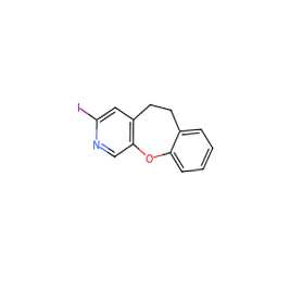 Ic1cc2c(cn1)Oc1ccccc1CC2